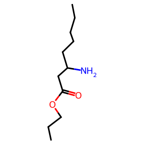 CCCCCC(N)CC(=O)OCCC